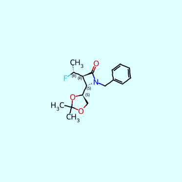 C[C@@H](F)[C@H]1C(=O)N(Cc2ccccc2)[C@@H]1[C@H]1COC(C)(C)O1